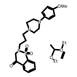 C=C.CCOC(C)OCC.COc1ccc(N2CCN(CCCN3CC(=O)c4ccccc4S3(=O)=O)CC2)cc1